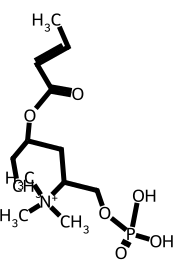 CC=CC(=O)OC(CC)CC(COP(=O)(O)O)[N+](C)(C)C